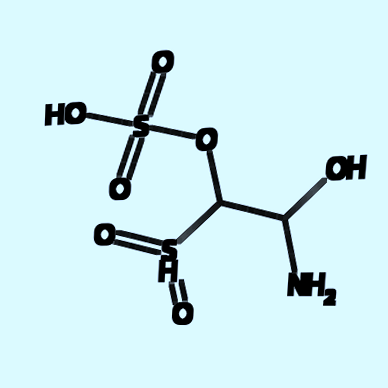 NC(O)C(OS(=O)(=O)O)[SH](=O)=O